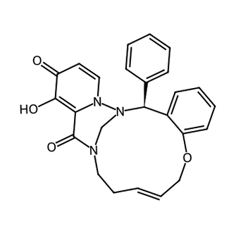 O=C1c2c(O)c(=O)ccn2N2CN1CC/C=C/COc1ccccc1[C@@H]2c1ccccc1